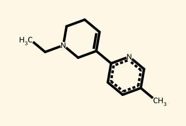 CCN1CCC=C(c2ccc(C)cn2)C1